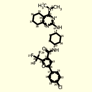 CN(C)c1nc(N[C@H]2CC[C@@H](NC(=O)c3cc(-c4ccc(Cl)cc4)oc3C(F)(F)F)CC2)nc2c1CCCC2